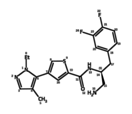 CCn1ncc(C)c1-c1csc(C(=O)N[C@H](CN)Cc2ccc(F)c(F)c2)c1